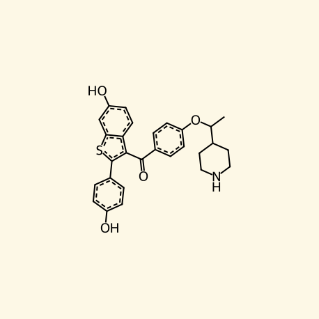 CC(Oc1ccc(C(=O)c2c(-c3ccc(O)cc3)sc3cc(O)ccc23)cc1)C1CCNCC1